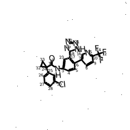 O=C(Nc1ccc(-c2ccc(C(F)(F)F)nc2)c(-c2nnn[nH]2)c1)C1(c2cccc(Cl)c2)CC1